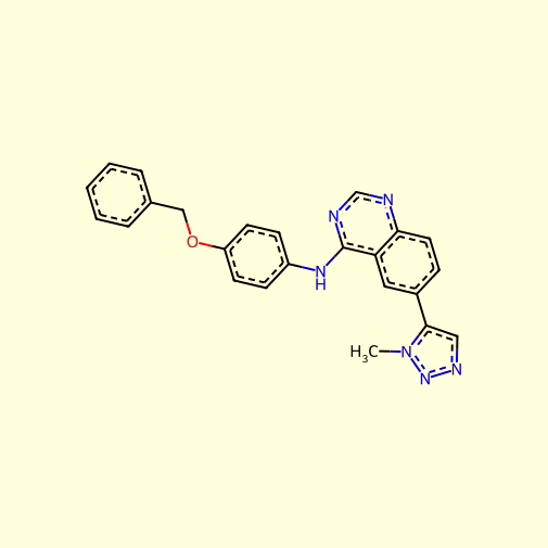 Cn1nncc1-c1ccc2ncnc(Nc3ccc(OCc4ccccc4)cc3)c2c1